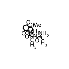 COC12CCN(C(=O)[C@H](C)NC(=O)[C@H](C)N)[C@@]1(C(=O)O)C(=O)CCC2=O